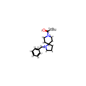 CC(C)(C)C(=O)N1CCC2(CCCN2Cc2ccccc2)CC1